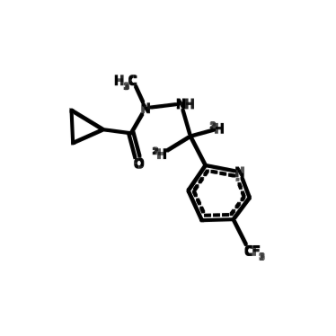 [2H]C([2H])(NN(C)C(=O)C1CC1)c1ccc(C(F)(F)F)cn1